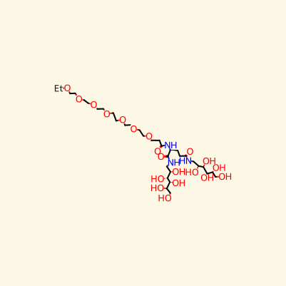 CCOCCOCCOCCOCCOCCOCCOCCC(=O)N[C@@H](CCC(=O)NC[C@H](O)[C@@H](O)[C@H](O)[C@H](O)CO)C(=O)NC[C@H](O)[C@@H](O)[C@H](O)[C@H](O)CO